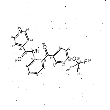 O=C(Nc1ccccc1C(=O)c1ccc(OC(F)(F)F)cc1)c1ccncc1